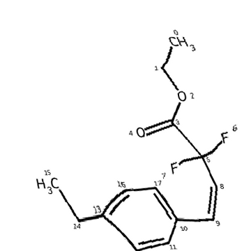 CCOC(=O)C(F)(F)/C=C\c1ccc(CC)cc1